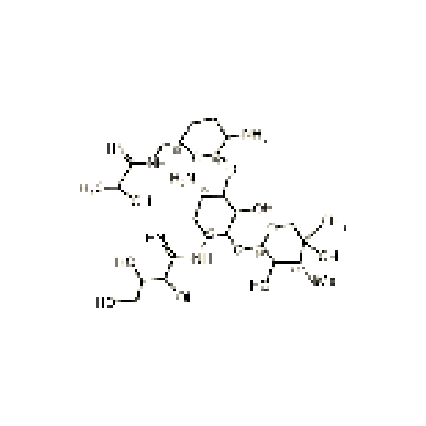 CN[C@@H]1C(O)[C@@H](OC2C(O)C(O[C@H]3O[C@H](CNC(=N)C(C)O)CCC3N)[C@@H](N)C[C@H]2NC(=N)C(O)C(O)CO)OCC1(C)O